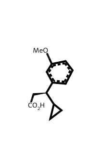 COc1cccc([C@H](CC(=O)O)C2CC2)c1